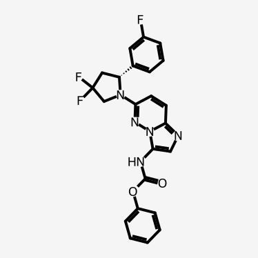 O=C(Nc1cnc2ccc(N3CC(F)(F)C[C@@H]3c3cccc(F)c3)nn12)Oc1ccccc1